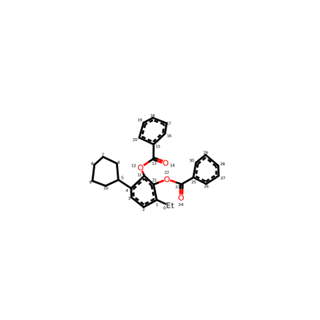 CCc1ccc(C2CCCCC2)c(OC(=O)c2ccccc2)c1OC(=O)c1ccccc1